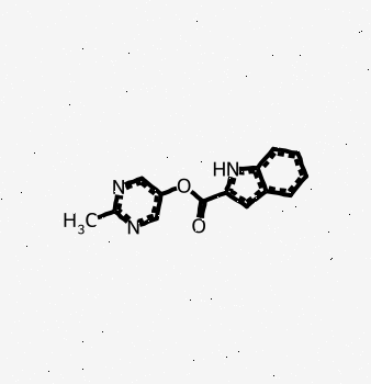 Cc1ncc(OC(=O)c2cc3ccccc3[nH]2)cn1